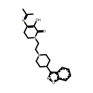 C/C(I)=N/C1=C(O)C(=O)N(CCN2CCC(c3noc4ccccc34)CC2)CC1